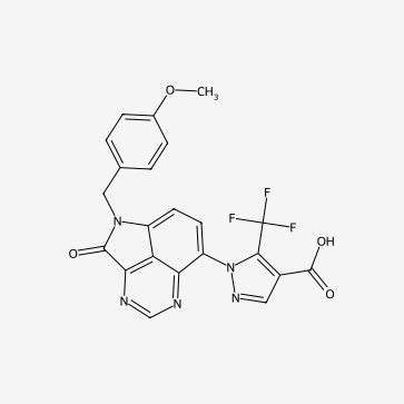 COc1ccc(CN2C(=O)c3ncnc4c(-n5ncc(C(=O)O)c5C(F)(F)F)ccc2c34)cc1